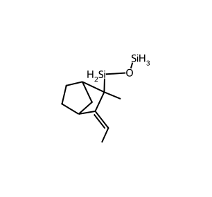 CC=C1C2CCC(C2)C1(C)[SiH2]O[SiH3]